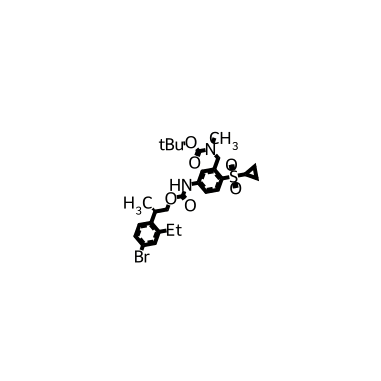 CCc1cc(Br)ccc1[C@@H](C)COC(=O)Nc1ccc(S(=O)(=O)C2CC2)c(CN(C)C(=O)OC(C)(C)C)c1